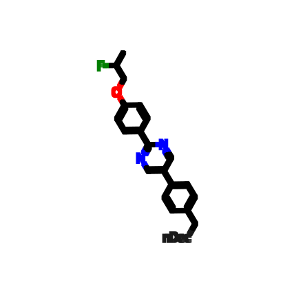 CCCCCCCCCCCc1ccc(-c2cnc(-c3ccc(OCC(C)F)cc3)nc2)cc1